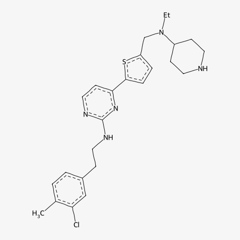 CCN(Cc1ccc(-c2ccnc(NCCc3ccc(C)c(Cl)c3)n2)s1)C1CCNCC1